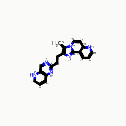 Cc1c(CCc2ncc3c(n2)C=CCN3)nc2c3cccnc3ccn12